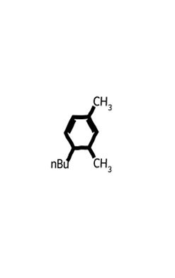 CCCCC1C=CC(C)=CC1C